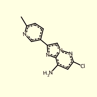 Cc1ccc(-c2cn3nc(Cl)cc(N)c3n2)cn1